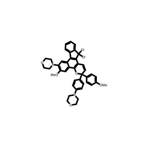 CCC1(CC)c2ccccc2-c2c1c1c(c3cc(OC)c(N4CCOCC4)cc23)OC(c2ccc(OC)cc2)(c2ccc(N3CCOCC3)cc2)C=C1